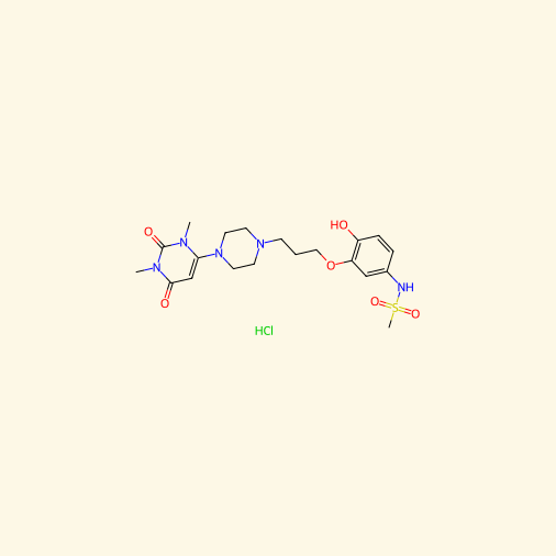 Cl.Cn1c(N2CCN(CCCOc3cc(NS(C)(=O)=O)ccc3O)CC2)cc(=O)n(C)c1=O